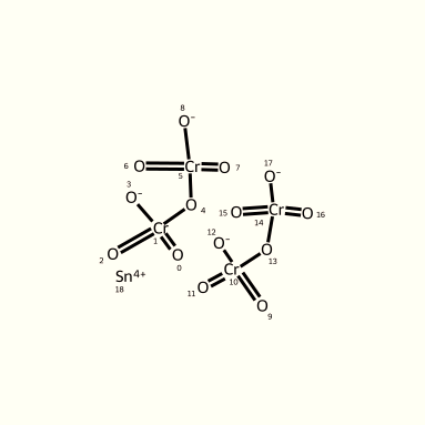 [O]=[Cr](=[O])([O-])[O][Cr](=[O])(=[O])[O-].[O]=[Cr](=[O])([O-])[O][Cr](=[O])(=[O])[O-].[Sn+4]